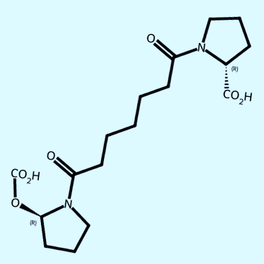 O=C(O)O[C@@H]1CCCN1C(=O)CCCCCC(=O)N1CCC[C@@H]1C(=O)O